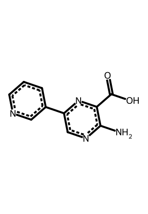 Nc1ncc(-c2cccnc2)nc1C(=O)O